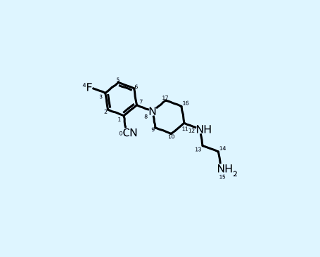 N#Cc1cc(F)ccc1N1CCC(NCCN)CC1